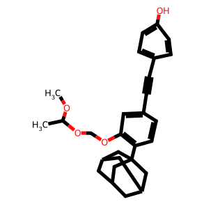 COC(C)OCOc1cc(C#Cc2ccc(O)cc2)ccc1C12CC3CC(CC(C3)C1)C2